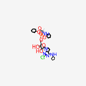 C[C@H](NP(=O)(COCC1O[C@@H](n2ccc3c(NC4CCCC4)nc(Cl)nc32)[C@H](O)[C@@H]1O)Oc1ccccc1)C(=O)Oc1ccccc1